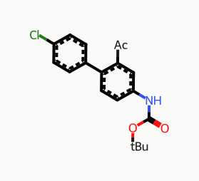 CC(=O)c1cc(NC(=O)OC(C)(C)C)ccc1-c1ccc(Cl)cc1